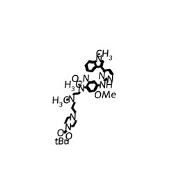 COc1cc(N(C)CCN(C)CCCN2CCN(C(=O)OC(C)(C)C)CC2)c([N+](=O)[O-])cc1Nc1nccc(-c2cn(C)c3ccccc23)n1